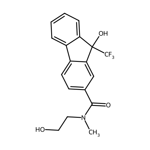 CN(CCO)C(=O)c1ccc2c(c1)C(O)(C(F)(F)F)c1ccccc1-2